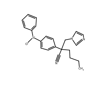 CCCCC(C#N)(Cn1ccnc1)c1ccc([S+]([O-])c2ccccc2)cc1